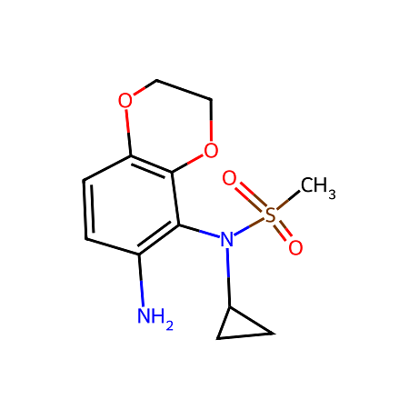 CS(=O)(=O)N(c1c(N)ccc2c1OCCO2)C1CC1